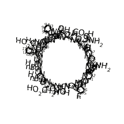 CCCC[C@H]1C(=O)N(C)[C@@H](CCCC)C(=O)N[C@@H](CCC(=O)O)C(=O)N[C@H](C(N)=O)CNCC(=O)N[C@@H](Cc2ccc(F)cc2)C(=O)N2CCCC[C@H]2C(=O)N[C@@H](CC(N)=O)C(=O)N2CCCC2C(=O)N[C@@H](CCC(N)=O)C(=O)N[C@@H](CCC(=O)O)C(=O)N2C[C@H](O)C[C@H]2C(=O)N[C@@H](Cc2c[nH]c3ccccc23)C(=O)N[C@@H](CC(N)=O)C(=O)N[C@@H](Cc2cn(CC(=O)O)c3ccccc23)C(=O)N1C